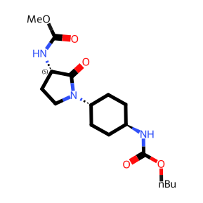 CCCCOC(=O)N[C@H]1CC[C@H](N2CC[C@H](NC(=O)OC)C2=O)CC1